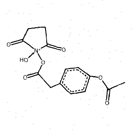 CC(=O)Oc1ccc(CC(=O)O[N+]2(O)C(=O)CCC2=O)cc1